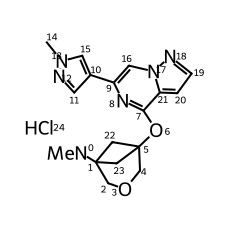 CNC12COCC(Oc3nc(-c4cnn(C)c4)cn4nccc34)(C1)C2.Cl